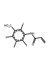 C=CC(=O)Nc1c(I)c(C)c(I)c(C(=O)O)c1I